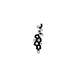 CCC(=O)OOC(=S)[C@H]1CC[C@H]2[C@@H]3CCC4=CC(=O)C=C[C@]4(C)[C@H]3CC[C@]12C